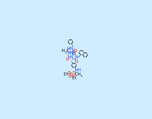 C=C(CP(=O)(OCC)OCC)Nc1ccc(C[C@H]2C(=O)N(Cc3cccc4ccccc34)C[C@H]3N2C(=O)CN(C)N3C(=O)NCc2ccccc2)cc1